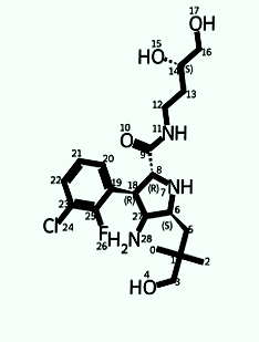 CC(C)(CO)C[C@@H]1N[C@@H](C(=O)NCC[C@H](O)CO)[C@H](c2cccc(Cl)c2F)C1N